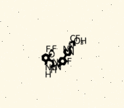 OC1(C(F)(F)F)CN(c2ncc(-c3cc4c(cc3F)nc3n4C4=c5c(OC(F)F)cccc5=CN[C@@H]3C4)cn2)C1